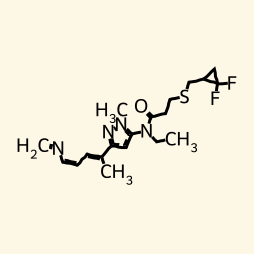 C=N/C=C\C=C(/C)c1cc(N(CC)C(=O)CCSCC2CC2(F)F)n(C)n1